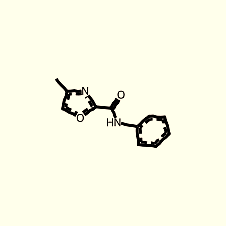 Cc1coc(C(=O)Nc2ccccc2)n1